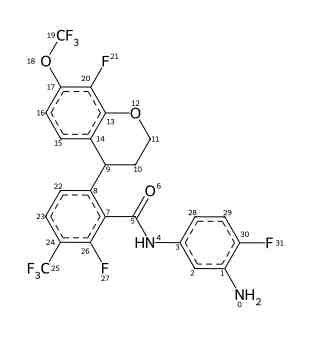 Nc1cc(NC(=O)c2c(C3CCOc4c3ccc(OC(F)(F)F)c4F)ccc(C(F)(F)F)c2F)ccc1F